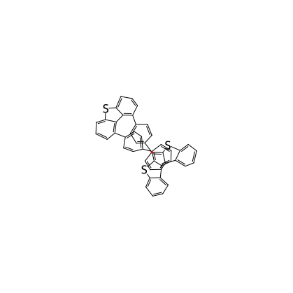 c1ccc2c(c1)sc1c(-c3ccc(-c4cccc5sc6cccc(-c7ccc(-c8cccc9c8sc8ccccc89)cc7)c6c45)cc3)cccc12